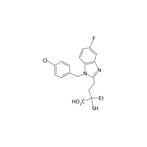 CCC(S)(CCc1nc2cc(F)ccc2n1Cc1ccc(Cl)cc1)C(=O)O